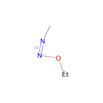 CCO/N=N\C